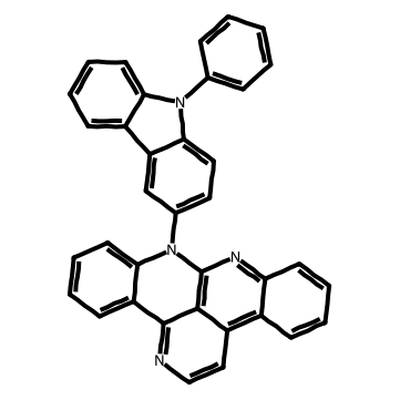 c1ccc(-n2c3ccccc3c3cc(N4c5ccccc5-c5nccc6c5c4nc4ccccc46)ccc32)cc1